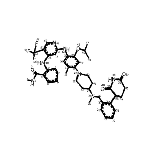 CNC(=O)c1ccccc1Nc1cc(Nc2cc(C)c(N3CCC(N(C)Cc4ccccc4C4CCC(=O)NC4=O)CC3)cc2OC(C)C)ncc1C(F)(F)F